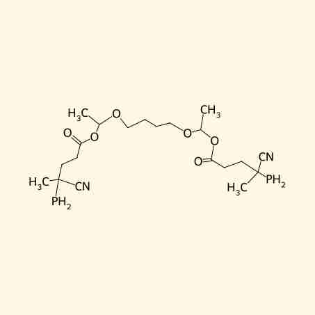 CC(OCCCCOC(C)OC(=O)CCC(C)(P)C#N)OC(=O)CCC(C)(P)C#N